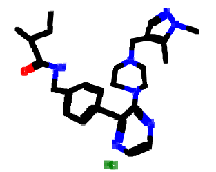 CCC(C)C(=O)NCc1ccc(-c2nccnc2N2CCN(Cc3cnn(C)c3C)CC2)cc1.Cl